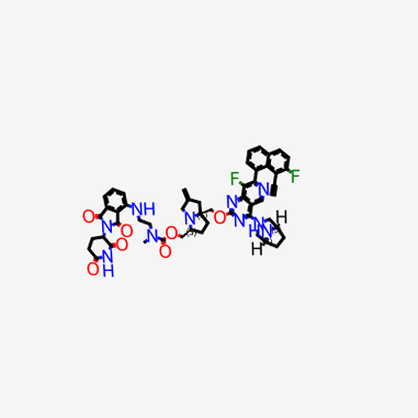 C#Cc1c(F)ccc2cccc(-c3ncc4c(N5C[C@H]6CC[C@@H](C5)N6)nc(OC[C@@]56CC[C@@H](COC(=O)N(C)CCNc7cccc8c7C(=O)N(C7CCC(=O)NC7=O)C8=O)N5CC(=C)C6)nc4c3F)c12